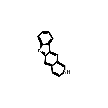 c1ccc2c(c1)nc1cc3cc[nH]cc3cc12